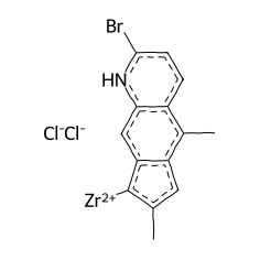 Cc1cc2c(C)c3ccc(Br)[nH]c3cc2[c]1[Zr+2].[Cl-].[Cl-]